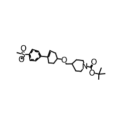 CC(C)(C)OC(=O)N1CCC(COC2CC=C(c3ccc(S(C)(=O)=O)cc3)CC2)CC1